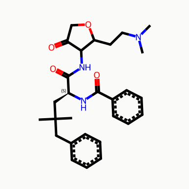 CN(C)CCC1OCC(=O)C1NC(=O)[C@H](CC(C)(C)Cc1ccccc1)NC(=O)c1ccccc1